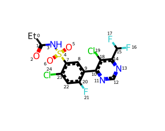 CCC(=O)NS(=O)(=O)c1cc(-c2ncnc(C(F)F)c2Cl)c(F)cc1Cl